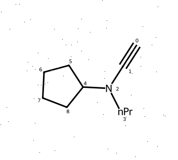 C#CN(CCC)C1CCCC1